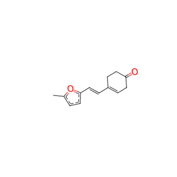 Cc1ccc(/C=C/C2=CCC(=O)CC2)o1